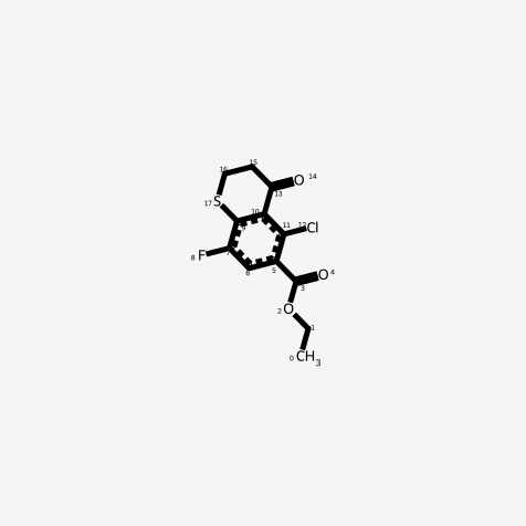 CCOC(=O)c1cc(F)c2c(c1Cl)C(=O)CCS2